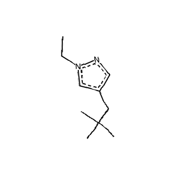 CCn1cc(CC(C)(C)C)cn1